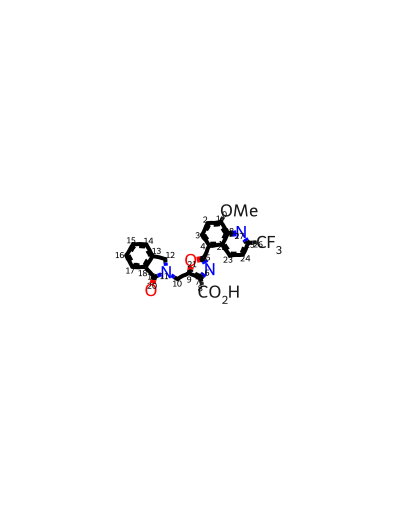 COc1ccc(-c2nc(C(=O)O)c(CN3Cc4ccccc4C3=O)o2)c2ccc(C(F)(F)F)nc12